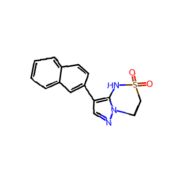 O=S1(=O)CCn2ncc(-c3ccc4ccccc4c3)c2N1